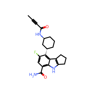 CC#CC(=O)N[C@H]1CCC[C@H](c2c(F)cc(C(N)=O)c3[nH]c4c(c23)CCC4)C1